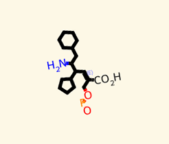 NC(CC1CCCCC1)C(/C=C(\COP=O)C(=O)O)C1CCCC1